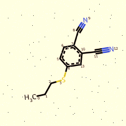 CCCSc1ccc(C#N)c(C#N)c1